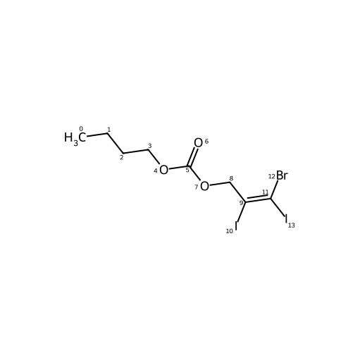 CCCCOC(=O)OC/C(I)=C(\Br)I